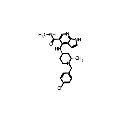 CNC(=O)c1cnc2[nH]ccc2c1N[C@@H]1CCN(Cc2ccc(Cl)cc2)[C@@H](C)C1